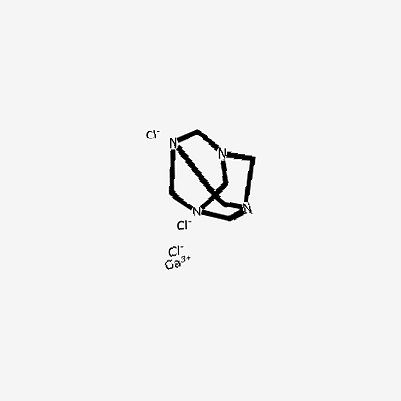 C1N2CN3CN1CN(C2)C3.[Cl-].[Cl-].[Cl-].[Ga+3]